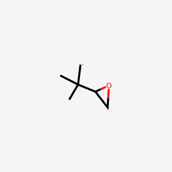 [CH2]C(C)(C)C1CO1